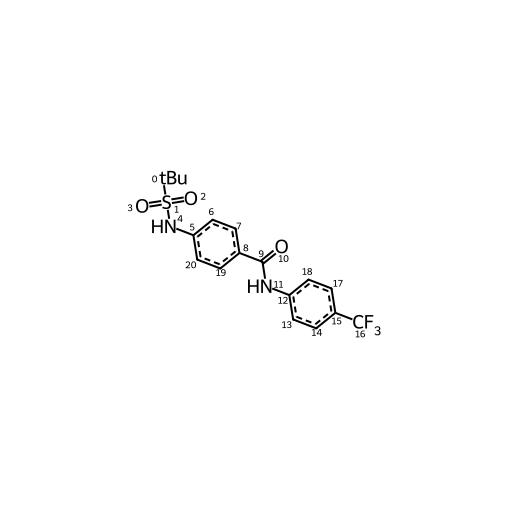 CC(C)(C)S(=O)(=O)Nc1ccc(C(=O)Nc2ccc(C(F)(F)F)cc2)cc1